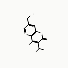 Cc1c(C(F)F)c(=O)[nH]c2cc(CO)cnc12